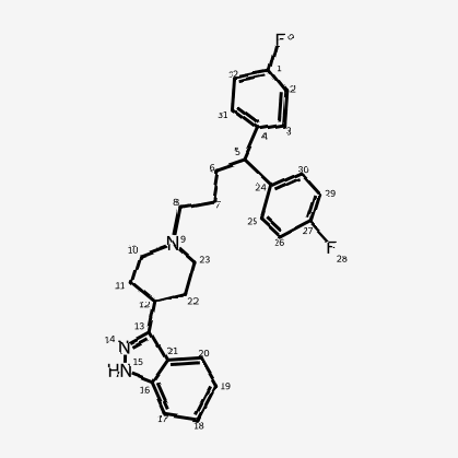 Fc1ccc(C(CCCN2CCC(c3n[nH]c4ccccc34)CC2)c2ccc(F)cc2)cc1